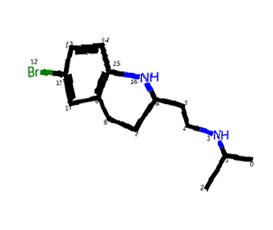 CC(C)NCCC1CCc2cc(Br)ccc2N1